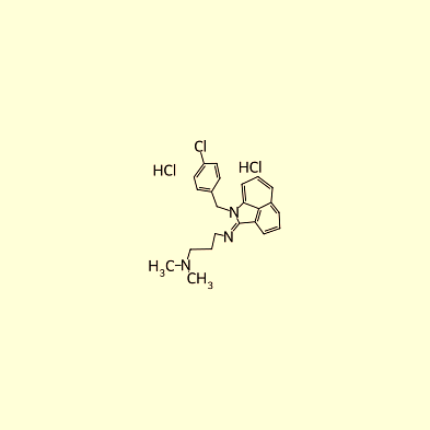 CN(C)CCC/N=C1/c2cccc3cccc(c23)N1Cc1ccc(Cl)cc1.Cl.Cl